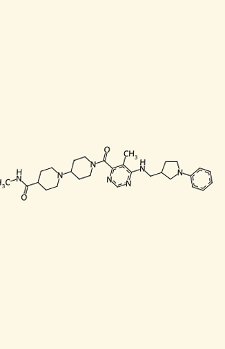 CNC(=O)C1CCN(C2CCN(C(=O)c3ncnc(NCC4CCN(c5ccccc5)C4)c3C)CC2)CC1